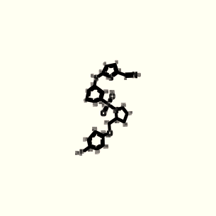 N#Cc1ccc(Sc2cccc(S(=O)(=O)N3CCCC3COc3ccc(F)cc3)c2)s1